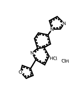 Cl.Cl.c1cn(-c2ccc3nc(-c4ccoc4)ccc3c2)cn1